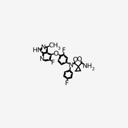 Cc1n[nH]c2ncc(F)c(Oc3ccc(N(C(=O)C4(C(N)=O)CC4)c4ccc(F)cc4)cc3F)c12